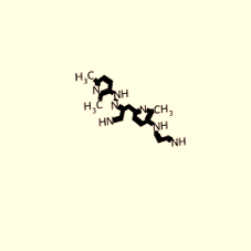 Cc1ccc(N/N=C(/C=N)Cc2ccc(N/C=C\C=N)c(C)n2)c(C)n1